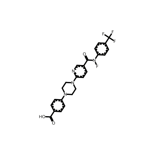 O=C(O)c1ccc(N2CCN(c3ccc(C(=O)N(F)c4ccc(C(F)(F)F)cc4)cn3)CC2)cc1